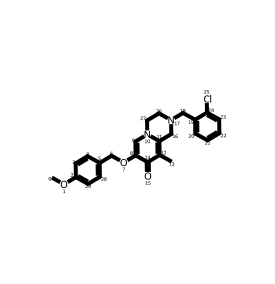 COc1ccc(COc2cn3c(c(C)c2=O)CN(Cc2ccccc2Cl)CC3)cc1